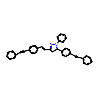 C(#Cc1ccc(C=CC2=NN(c3ccccc3)C(c3ccc(C#Cc4ccccc4)cc3)C2)cc1)c1ccccc1